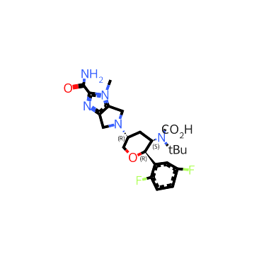 Cn1c(C(N)=O)nc2c1CN([C@H]1CO[C@H](c3cc(F)ccc3F)[C@@H](N(C(=O)O)C(C)(C)C)C1)C2